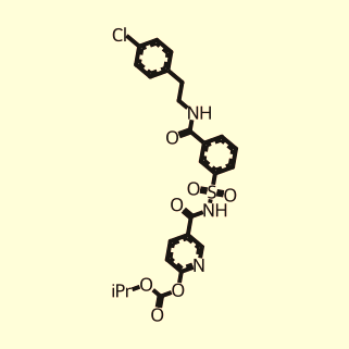 CC(C)OC(=O)Oc1ccc(C(=O)NS(=O)(=O)c2cccc(C(=O)NCCc3ccc(Cl)cc3)c2)cn1